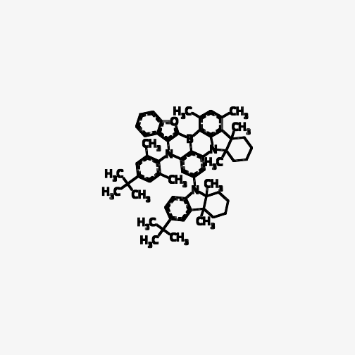 Cc1cc(C)c2c3c1B1c4oc5ccccc5c4N(c4c(C)cc(C(C)(C)C)cc4C)c4cc(N5c6ccc(C(C)(C)C)cc6C6(C)CCCCC56C)cc(c41)N3C1(C)CCCCC21C